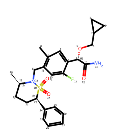 Cc1cc([C@H](OCC2CC2)C(N)=O)c(F)cc1CN1[C@@H](C)CC[C@H](c2ccccc2)S1(=O)=O